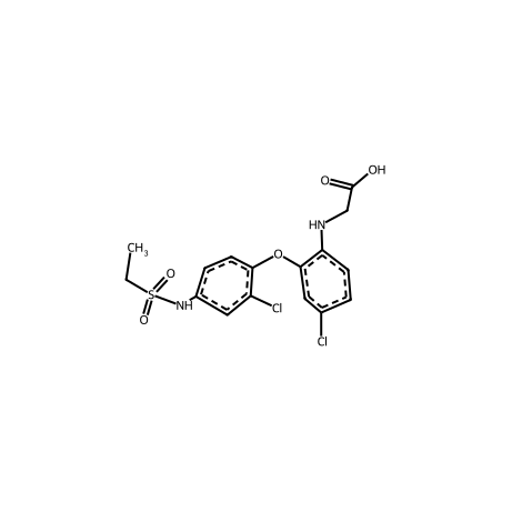 CCS(=O)(=O)Nc1ccc(Oc2cc(Cl)ccc2NCC(=O)O)c(Cl)c1